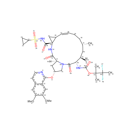 COc1cc2ccnc(O[C@@H]3C[C@H]4C(=O)N[C@]5(C(=O)NS(=O)(=O)C6CC6)CC5/C=C\CC[C@H](C)C[C@@H](C)[C@H](NC(=O)OC(C)(C)C(C)(F)F)C(=O)N4C3)c2cc1OC